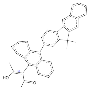 CC(=O)/C(=C(/C)O)c1c2ccccc2c(-c2ccc3c(c2)C(C)(C)c2cc4ccccc4cc2-3)c2ccccc12